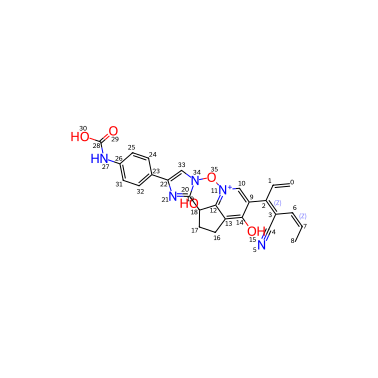 C=C/C(=C(C#N)\C=C/C)c1c[n+]2c3c(c1O)CCC3(O)c1nc(-c3ccc(NC(=O)O)cc3)cn1O2